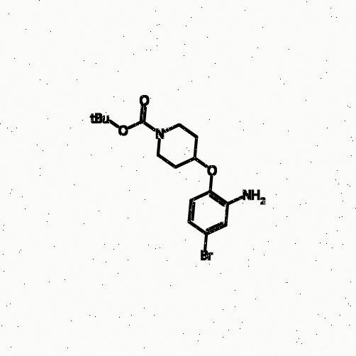 CC(C)(C)OC(=O)N1CCC(Oc2ccc(Br)cc2N)CC1